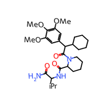 COc1cc(C(C(=O)N2CCCCC2C(=O)NC(C(N)=O)C(C)C)C2CCCCC2)cc(OC)c1OC